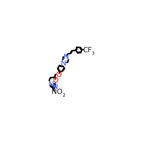 O=[N+]([O-])c1cn2c(n1)OC(COc1ccc(N3CCN(C/C=C/c4ccc(C(F)(F)F)cc4)CC3)cc1)CC2